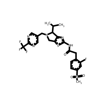 CC(C)C1c2nc(NC(=O)Cc3ccc(S(C)(=O)=O)cc3F)sc2CN1Cc1cnc(C(F)(F)F)nc1